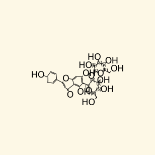 O=c1cc(-c2ccc(O)cc2)oc2cc(O)c([C@@H]3O[C@H](CO)[C@@H](O)[C@H](O)[C@H]3O[C@@H]3O[C@H](CO)[C@@H](O)[C@H](O)[C@H]3O)c(O)c12